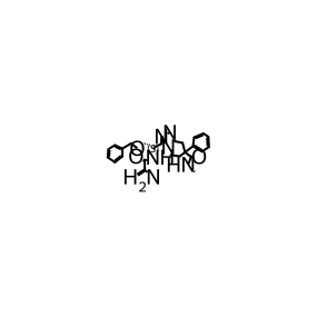 C=C(N)C(=O)N[C@H](COCc1ccccc1)c1nnc2n1CCC(C(=O)NC)(c1ccccc1)C2